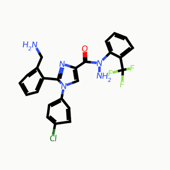 NCc1ccccc1-c1nc(C(=O)N(N)c2ccccc2C(F)(F)F)cn1-c1ccc(Cl)cc1